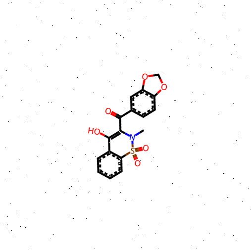 CN1C(C(=O)c2ccc3c(c2)OCO3)=C(O)c2ccccc2S1(=O)=O